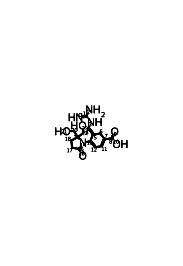 N=C(N)NC=C1CC(C(=O)O)=CC=C1N1C(=O)CCC1(CO)CO